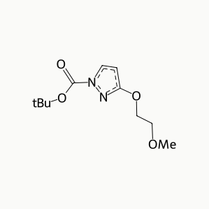 COCCOc1ccn(C(=O)OC(C)(C)C)n1